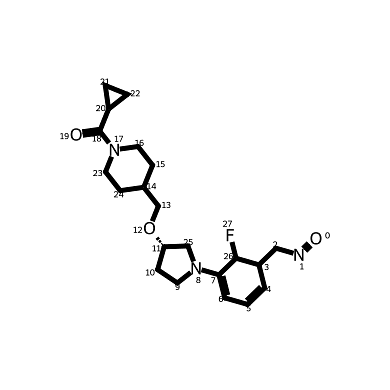 O=NCC1C=CC=C(N2CC[C@H](OCC3CCN(C(=O)C4CC4)CC3)C2)C1F